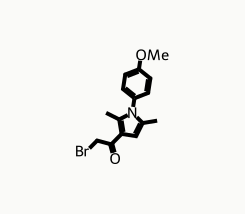 COc1ccc(-n2c(C)cc(C(=O)CBr)c2C)cc1